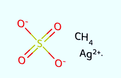 C.O=S(=O)([O-])[O-].[Ag+2]